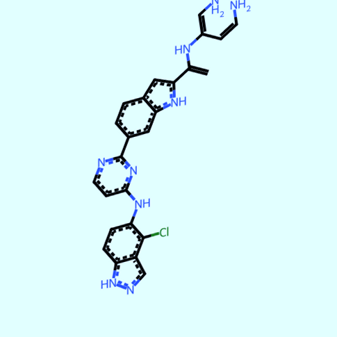 C=C(NC(/C=C\N)=C/N)c1cc2ccc(-c3nccc(Nc4ccc5[nH]ncc5c4Cl)n3)cc2[nH]1